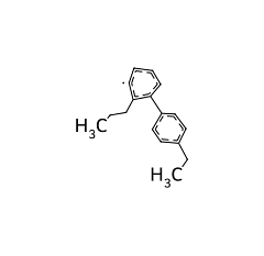 CCCc1[c]cccc1-c1ccc(CC)cc1